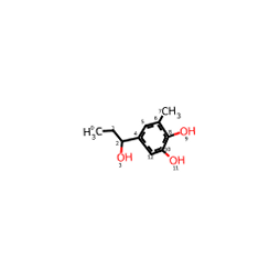 CCC(O)c1cc(C)c(O)c(O)c1